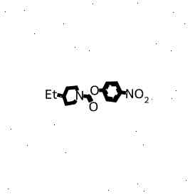 CCC1CCN(C(=O)Oc2ccc([N+](=O)[O-])cc2)CC1